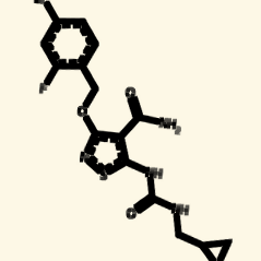 NC(=O)c1c(OCc2ccc(Br)cc2F)nsc1NC(=O)NCC1CC1